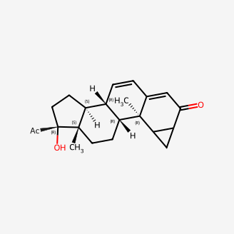 CC(=O)[C@@]1(O)CC[C@H]2[C@@H]3C=CC4=CC(=O)C5CC5[C@@]4(C)[C@@H]3CC[C@@]21C